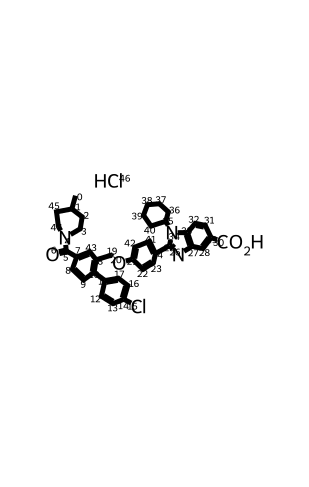 CC1CCN(C(=O)c2ccc(-c3ccc(Cl)cc3)c(COc3ccc(-c4nc5cc(C(=O)O)ccc5n4C4CCCCC4)cc3)c2)CC1.Cl